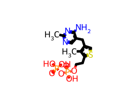 Cc1ncc(Cc2csc(CCOP(=O)(O)OP(=O)(O)O)c2C)c(N)n1